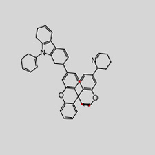 C1=CCCC(n2c3c(c4c2CC(c2ccc5c(c2)Oc2ccccc2C52c5ccccc5Oc5cc(C6CCCC=N6)ccc52)C=C4)C=CCC3)=C1